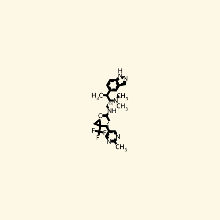 Cc1ncc([C@@H](CC(=O)NC[C@H](C(C)c2ccc3[nH]ncc3c2)N(C)C)C2(C(F)(F)F)CC2)cn1